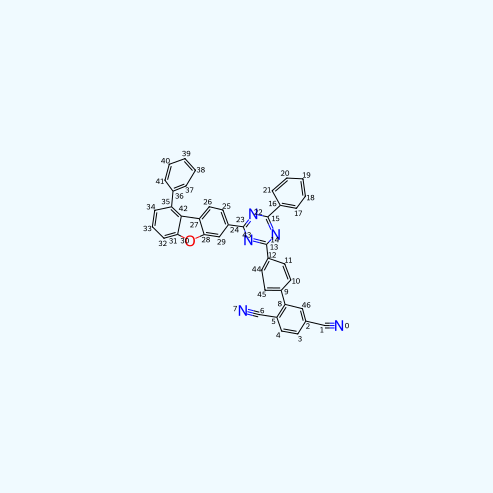 N#Cc1ccc(C#N)c(-c2ccc(-c3nc(-c4ccccc4)nc(-c4ccc5c(c4)oc4cccc(-c6ccccc6)c45)n3)cc2)c1